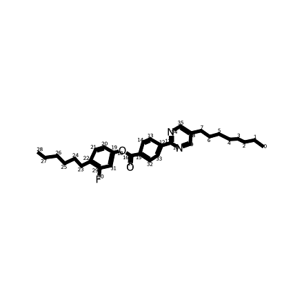 CCCCCCCCc1cnc(-c2ccc(C(=O)Oc3ccc(CCCCCC)c(F)c3)cc2)nc1